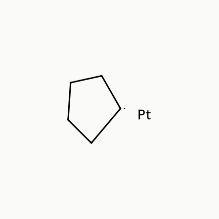 [CH]1CCCC1.[Pt]